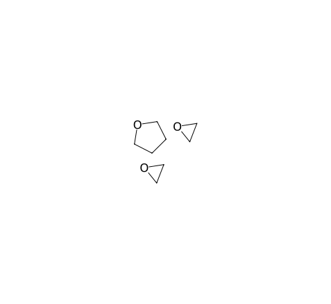 C1CCOC1.C1CO1.C1CO1